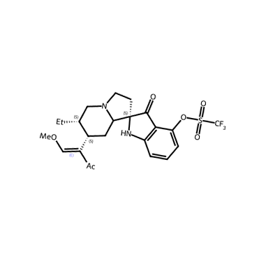 CC[C@@H]1CN2CC[C@]3(Nc4cccc(OS(=O)(=O)C(F)(F)F)c4C3=O)C2C[C@@H]1/C(=C\OC)C(C)=O